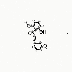 COc1cccc(C=CC(=O)c2c(O)cccc2OC)c1